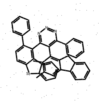 Cc1cc2c(c(-c3c(-c4ccccc4)nnnc3-c3c(-c4ccccc4)ccc4[se]c5ccccc5c34)c1C)Cc1ccccc1-2